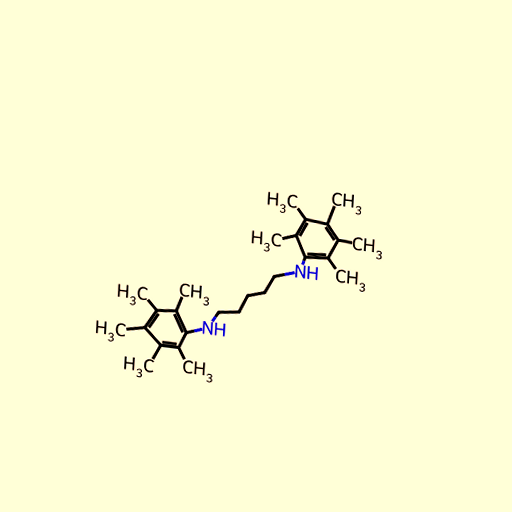 Cc1c(C)c(C)c(NCCCCCNc2c(C)c(C)c(C)c(C)c2C)c(C)c1C